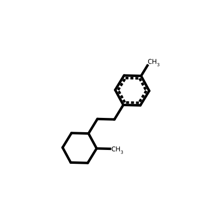 Cc1ccc(CCC2CCCCC2C)cc1